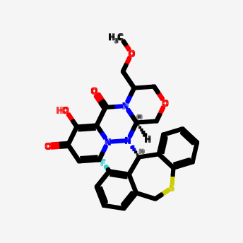 COCC1COC[C@@H]2N1C(=O)c1c(O)c(=O)ccn1N2[C@@H]1c2ccccc2SCc2cccc(F)c21